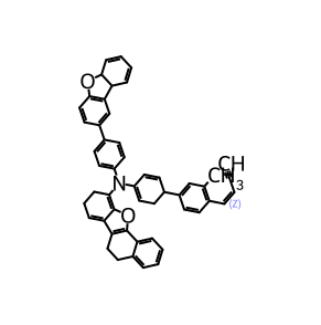 C#C/C=C\c1ccc(C2C=CC(N(C3=c4oc5c(c4=CCC3)CCc3ccccc3-5)c3ccc(-c4ccc5c(c4)C4C=CC=CC4O5)cc3)=CC2)cc1C